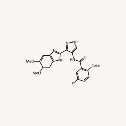 COC1=Cc2nc(-c3n[nH]cc3NC(=O)c3cc(F)ccc3OC)[nH]c2CC1OC